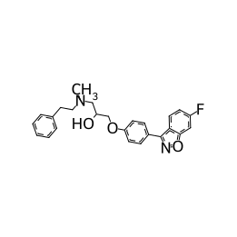 CN(CCc1ccccc1)CC(O)COc1ccc(-c2noc3cc(F)ccc23)cc1